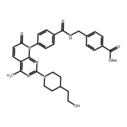 COC(=O)c1ccc(CNC(=O)c2ccc(-n3c(=O)ccc4c(C)nc(N5CCC(CCO)CC5)nc43)cc2)cc1